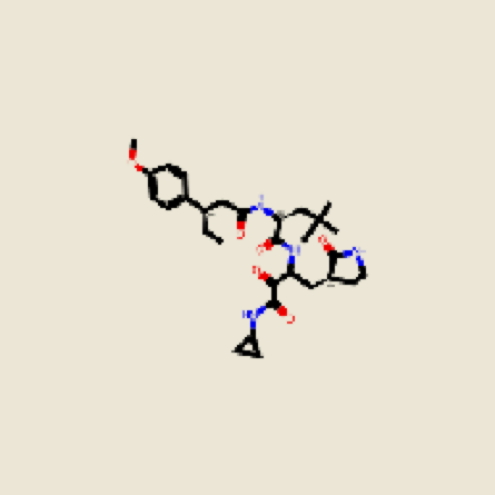 CC[C@H](CC(=O)N[C@@H](CC(C)(C)C)C(=O)NC(C[C@@H]1CCNC1=O)C(=O)C(=O)NC1CC1)c1ccc(OC)cc1